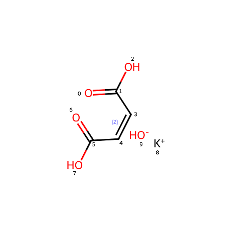 O=C(O)/C=C\C(=O)O.[K+].[OH-]